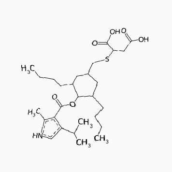 CCCCC1CC(CSC(CC(=O)O)C(=O)O)CC(CCCC)C1OC(=O)c1c(C(C)C)c[nH]c1C